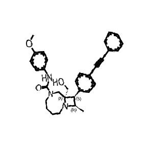 COc1ccc(NC(=O)N2CCCCN3[C@H](C)[C@H](c4ccc(C#Cc5ccccc5)cc4)[C@]3(CO)C2)cc1